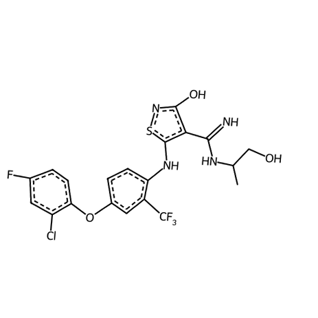 CC(CO)NC(=N)c1c(O)nsc1Nc1ccc(Oc2ccc(F)cc2Cl)cc1C(F)(F)F